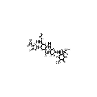 C=CCNc1cc(Nc2ncnc(Nc3cc(Cl)c(F)cc3C(C)(C)O)n2)c(OC)cc1N1C[C@@H](F)[C@@H](N(C)C)C1